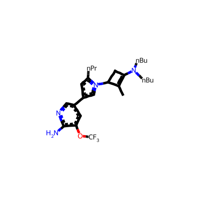 CCCCN(CCCC)C1=C(C)C(n2cc(-c3cnc(N)c(OC(F)(F)F)c3)cc2CCC)C1